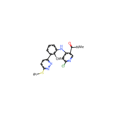 CNC(=O)c1cnc(Cl)cc1Nc1cccc(-c2ccc(SC(C)C)nn2)c1OC